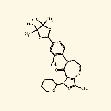 Cc1cc(C2OC(C)(C)C(C)(C)O2)ccc1N1CCOc2c(C)nn(C3CCCCO3)c2C1=O